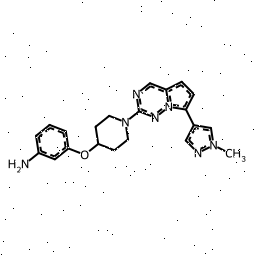 Cn1cc(-c2ccc3cnc(N4CCC(Oc5cccc(N)c5)CC4)nn23)cn1